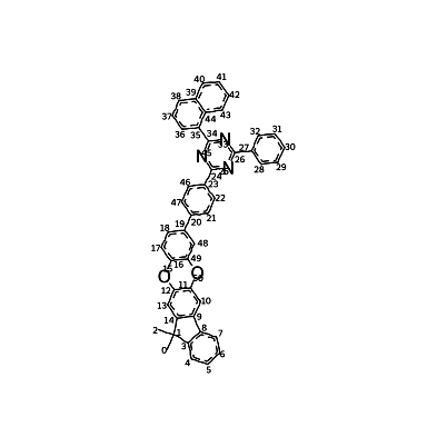 CC1(C)c2ccccc2-c2cc3c(cc21)Oc1ccc(-c2ccc(-c4nc(-c5ccccc5)nc(-c5cccc6ccccc56)n4)cc2)cc1O3